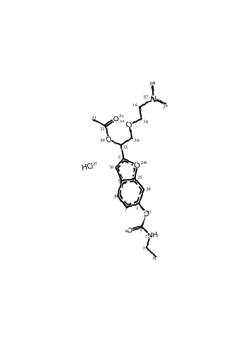 CCNC(=O)Oc1ccc2cc(C(COCCN(C)C)OC(C)=O)oc2c1.Cl